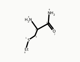 CCSCC(N)C(N)=O